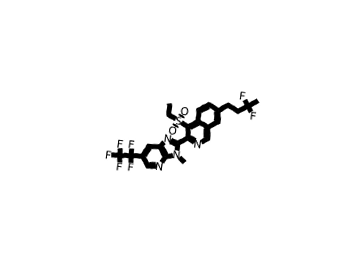 CCS(=O)(=O)c1c(-c2nc3cc(C(F)(F)C(F)(F)F)cnc3n2C)ncc2cc(CCC(C)(F)F)ccc12